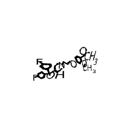 COc1cc(OCCCN2CCC(C(O)(c3ccc(F)cc3)c3ccc(F)cc3)CC2)ccc1C(C)=O